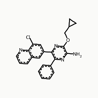 Nc1nc(-c2ccccc2)c(-c2cc(Cl)c3ncccc3c2)nc1OCC1CC1